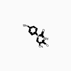 CC(C)(C)c1ccc(-n2cc(C#N)c(=O)[nH]c2=O)cc1